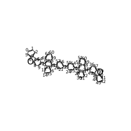 c1ccc2c(c1)oc1ccc(-c3c4ccccc4c(-c4ccc(-c5ccc(-c6c7ccccc7c(-c7ccc8oc9ccccc9c8c7)c7ccccc67)cc5)cc4)c4ccccc34)cc12